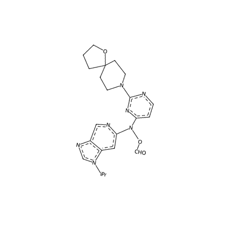 CC(C)n1cnc2cnc(N(OC=O)c3ccnc(N4CCC5(CCCO5)CC4)n3)cc21